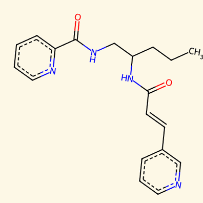 CCCC(CNC(=O)c1ccccn1)NC(=O)C=Cc1cccnc1